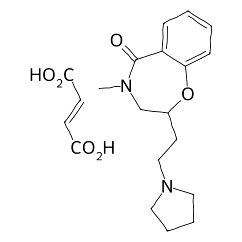 CN1CC(CCN2CCCC2)Oc2ccccc2C1=O.O=C(O)/C=C/C(=O)O